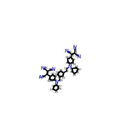 N#CC(C#N)=C(C#N)c1ccc(N(CCc2cccc(CN(c3ccccc3)c3ccc(C(C#N)=C(C#N)C#N)cc3)c2)c2ccccc2)cc1